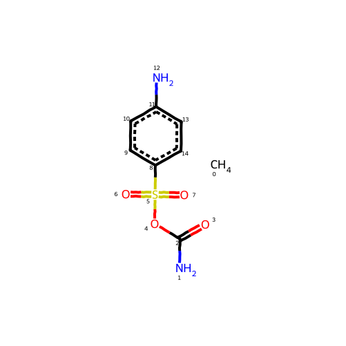 C.NC(=O)OS(=O)(=O)c1ccc(N)cc1